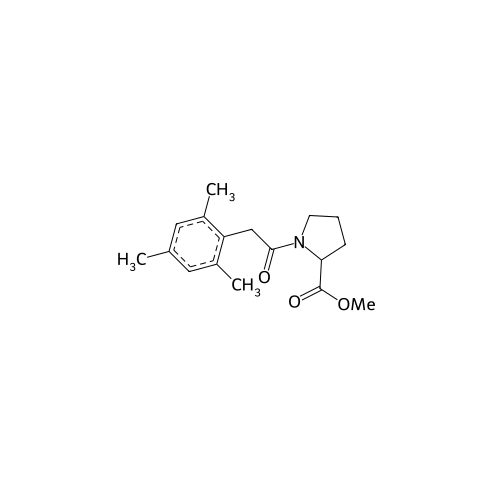 COC(=O)C1CCCN1C(=O)Cc1c(C)cc(C)cc1C